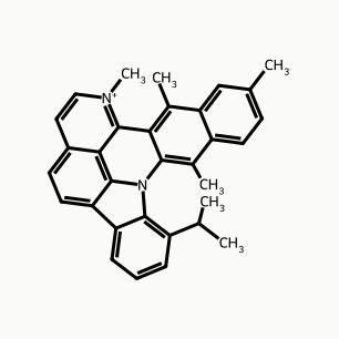 Cc1ccc2c(C)c3c(c(C)c2c1)c1c2c(ccc4c5cccc(C(C)C)c5n3c42)cc[n+]1C